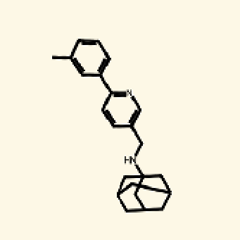 Cc1cccc(-c2ccc(CNC34CC5CC(CC(C5)C3)C4)cn2)c1